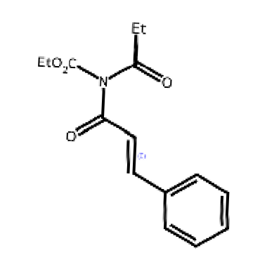 CCOC(=O)N(C(=O)/C=C/c1ccccc1)C(=O)CC